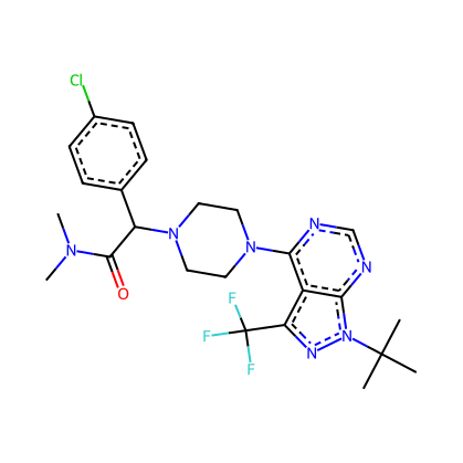 CN(C)C(=O)C(c1ccc(Cl)cc1)N1CCN(c2ncnc3c2c(C(F)(F)F)nn3C(C)(C)C)CC1